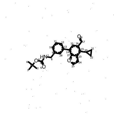 CC(C)(C)OC(=O)NCc1cccc(-c2cc(C=O)c(C3CC3)c3ccoc23)c1